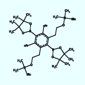 CCCc1c(CCO[Si](C)(C)C(C)(C)C)c(B2OC(C)(C)C(C)(C)O2)c(CCO[Si](C)(C)C(C)(C)C)c(CCC)c1B1OC(C)(C)C(C)(C)O1